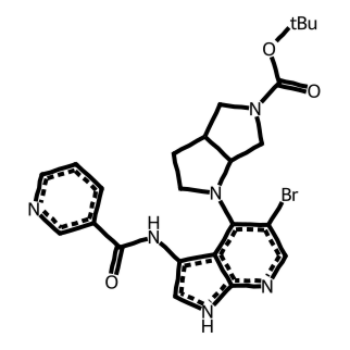 CC(C)(C)OC(=O)N1CC2CCN(c3c(Br)cnc4[nH]cc(NC(=O)c5cccnc5)c34)C2C1